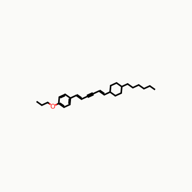 CCCCCCC1CCC(C=CC#CC=Cc2ccc(OCCC)cc2)CC1